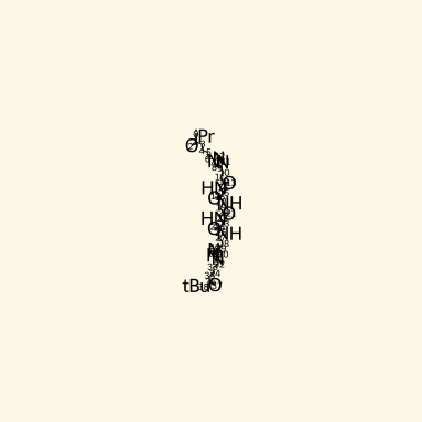 CC(C)C(=O)CCCCn1cc(CCC(=O)NCC(=O)NCC(=O)NCC(=O)NCCc2cn(CCCCC(=O)C(C)(C)C)nn2)nn1